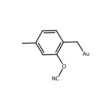 Cc1ccc([CH2][Au])c(OC#N)c1